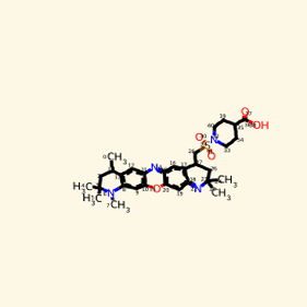 CC1CC(C)(C)N(C)c2cc3c(cc21)N=c1cc2c(cc1O3)=NC(C)(C)CC2CS(=O)(=O)N1CCC(C(=O)O)CC1